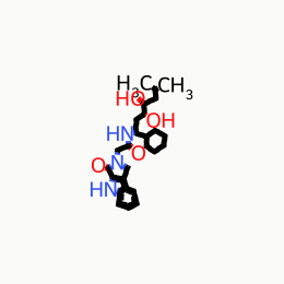 CC(C)CC(O)C(O)CC(NC(=O)CN1Cc2c([nH]c3ccccc23)C1=O)C1CCCCC1